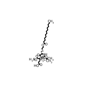 CCCCCCCCCCCCCC(=O)OCCSC[C@H](NC(=O)OC(C)(C)C)C(=O)N[C@@H](CCC(=O)O)C(=O)OC